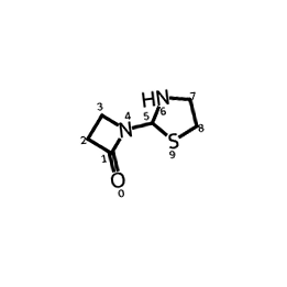 O=C1CCN1C1NCCS1